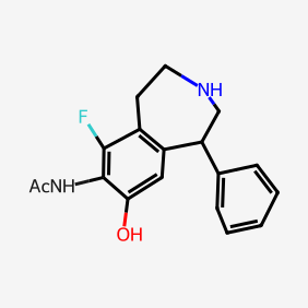 CC(=O)Nc1c(O)cc2c(c1F)CCNCC2c1ccccc1